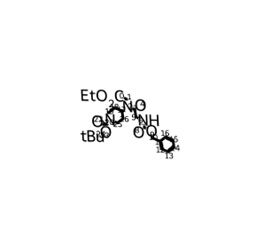 CCOC(=O)CN(C(=O)CNC(=O)OCc1ccccc1)C1CCN(C(=O)OC(C)(C)C)CC1